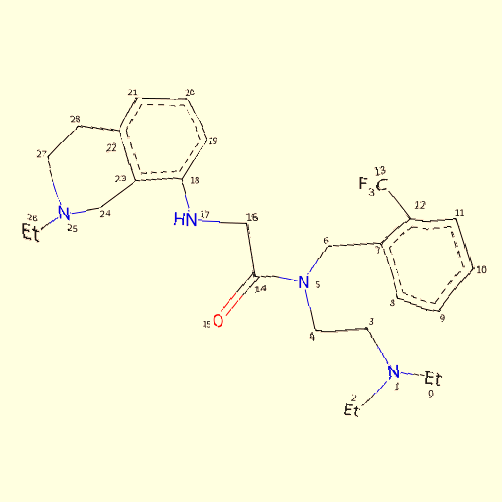 CCN(CC)CCN(Cc1ccccc1C(F)(F)F)C(=O)CNc1cccc2c1CN(CC)CC2